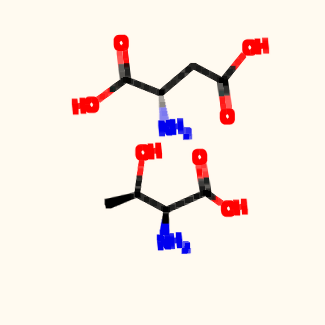 C[C@@H](O)[C@H](N)C(=O)O.N[C@@H](CC(=O)O)C(=O)O